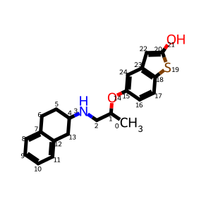 CC(CNC1CCc2ccccc2C1)Oc1ccc2sc(O)cc2c1